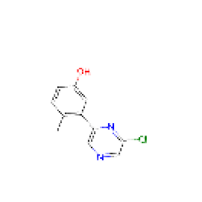 Cc1ccc(O)cc1-c1cncc(Cl)n1